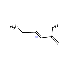 C=C(O)/C=C/CN